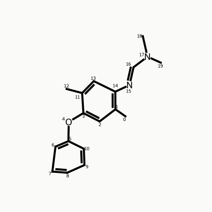 Cc1cc(Oc2ccccc2)c(C)cc1N=CN(C)C